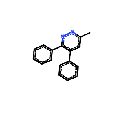 Cc1cc(-c2ccccc2)c(-c2ccccc2)nn1